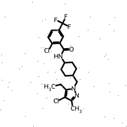 CCc1c(Cl)c(C)nn1CC1CCC(NC(=O)c2cc(C(F)(F)F)ccc2Cl)CC1